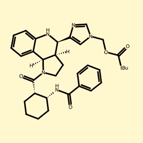 CC(C)(C)C(=O)OCn1cnc([C@@H]2Nc3ccccc3[C@H]3[C@@H]2CCN3C(=O)[C@H]2CCCC[C@H]2NC(=O)c2ccccc2)c1